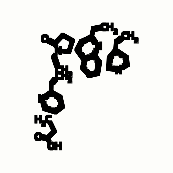 C=CN1CCCC1=O.C=Cc1ccc2ccccc2n1.C=Cc1ccccn1.C=Cc1ccncc1.CCC(=O)O